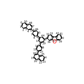 c1ccc2cc(-c3ccc(-c4cc(-c5ccc(-c6cccc7ccccc67)cc5)cc(-c5ccc6c(c5)oc5ccccc56)c4)cc3)ccc2c1